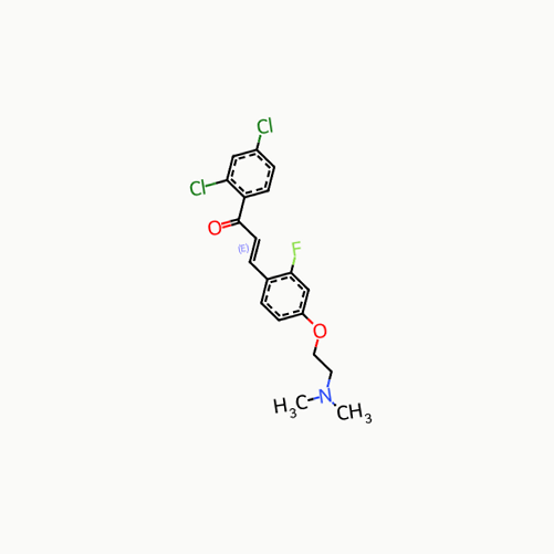 CN(C)CCOc1ccc(/C=C/C(=O)c2ccc(Cl)cc2Cl)c(F)c1